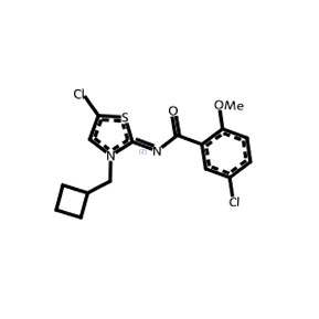 COc1ccc(Cl)cc1C(=O)/N=c1\sc(Cl)cn1CC1CCC1